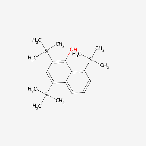 C[Si](C)(C)c1cc([Si](C)(C)C)c2cccc([Si](C)(C)C)c2c1O